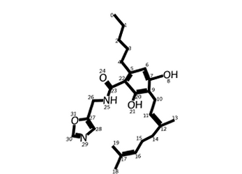 CCCCCc1cc(O)c(C/C=C(\C)CCC=C(C)C)c(O)c1C(=O)NCc1cnco1